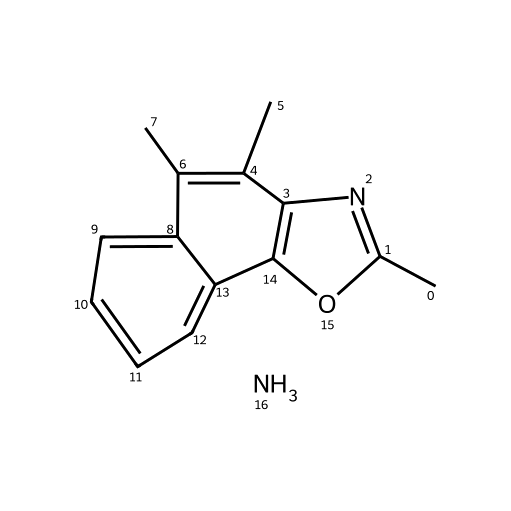 Cc1nc2c(C)c(C)c3ccccc3c2o1.N